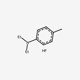 CCN(CC)c1ccc(C)cc1.F